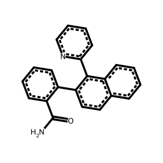 NC(=O)c1ccccc1-c1ccc2ccccc2c1-c1ccccn1